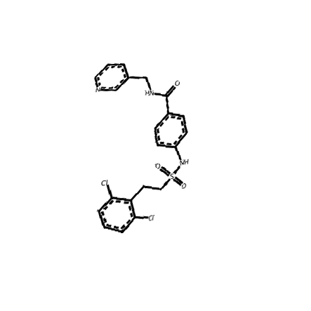 O=C(NCc1cccnc1)c1ccc(NS(=O)(=O)CCc2c(Cl)cccc2Cl)cc1